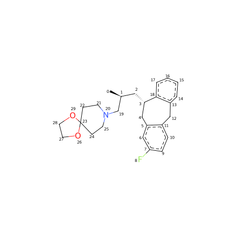 C[C@@H](C[C@H]1Cc2cc(F)ccc2Cc2ccccc21)CN1CCC2(CC1)OCCO2